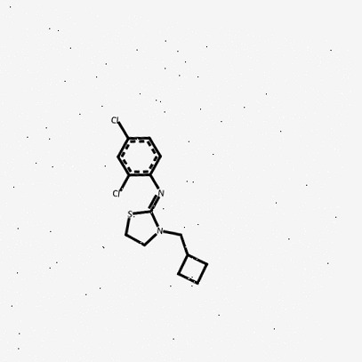 Clc1ccc(/N=C2\SCCN2CC2CCC2)c(Cl)c1